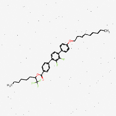 CCCCCCCCCOc1ccc(-c2ccc(-c3ccc(C(=O)OC(CCCCCC)C(F)(F)F)cc3)c(F)c2F)cc1